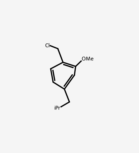 COc1cc(CC(C)C)ccc1CCl